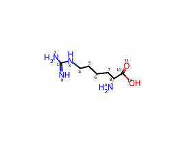 N=C(N)NCCCC[C@@H](N)C(=O)O